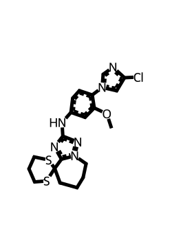 COc1cc(Nc2nc3n(n2)CCCCC32SCCCS2)ccc1-n1cnc(Cl)c1